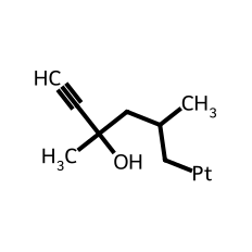 C#CC(C)(O)CC(C)[CH2][Pt]